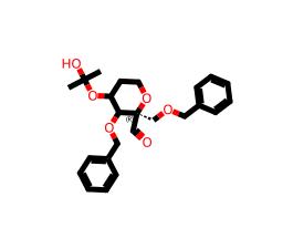 CC(C)(O)OC1CCO[C@](C=O)(COCc2ccccc2)C1OCc1ccccc1